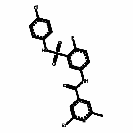 CCc1cc(C(=O)Nc2ccc(F)c(S(=O)(=O)Nc3ccc(Cl)cc3)c2)cc(C)n1